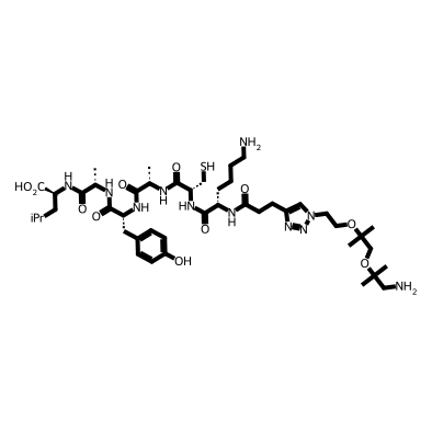 CC(C)C[C@H](NC(=O)[C@H](C)NC(=O)[C@@H](Cc1ccc(O)cc1)NC(=O)[C@H](C)NC(=O)[C@H](CS)NC(=O)[C@H](CCCCN)NC(=O)CCc1cn(CCOC(C)(C)COC(C)(C)CN)nn1)C(=O)O